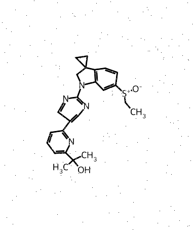 CC[S@+]([O-])c1ccc2c(c1)N(c1ncc(-c3cccc(C(C)(C)O)n3)cn1)CC21CC1